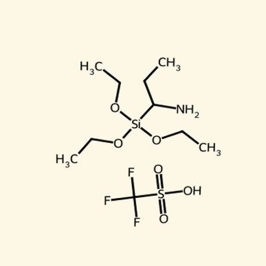 CCO[Si](OCC)(OCC)C(N)CC.O=S(=O)(O)C(F)(F)F